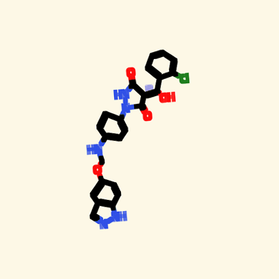 O=C1NN(c2ccc(NCOc3ccc4[nH]ncc4c3)cc2)C(=O)/C1=C(\O)c1ccccc1Cl